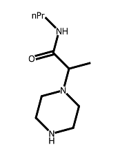 CCCNC(=O)C(C)N1CCNCC1